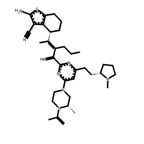 C=C(C)N1CCN(c2cc(CC[C@@H]3CCCN3C)nc(C(=N)/C(CCC)=C(\C)[C@H]3CCCc4sc(N)c(C#N)c43)n2)C[C@@H]1C